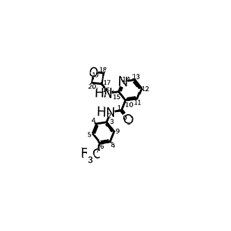 O=C(Nc1ccc(C(F)(F)F)cc1)c1cccnc1NC1COC1